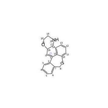 C(=C1\c2ccccc2CSc2ccccc21)/C1CNCCO1